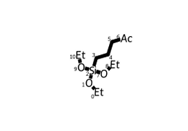 CCO[Si](CCCC(C)=O)(OCC)OCC